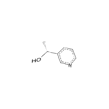 [CH2][C@@H](O)c1cccnc1